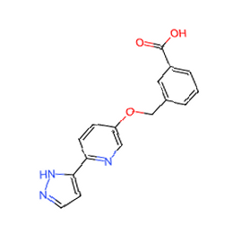 O=C(O)c1cccc(COc2ccc(-c3ccn[nH]3)nc2)c1